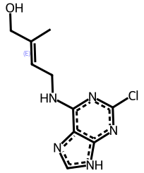 C/C(=C\CNc1nc(Cl)nc2[nH]cnc12)CO